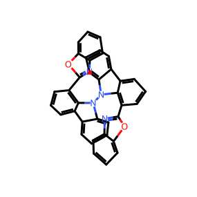 c1ccc2oc(-c3cccc4c5ccccc5n(-n5c6ccccc6c6cccc(-c7nc8ccccc8o7)c65)c34)nc2c1